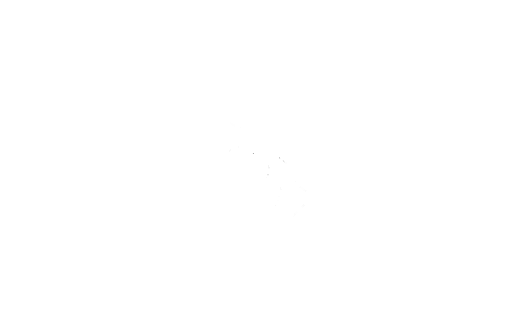 Fc1ccc(C(F)(F)c2cc3ccccc3c(Cl)n2)cc1